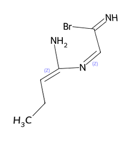 CC/C=C(N)\N=C/C(=N)Br